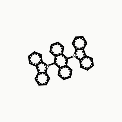 c1ccc2c(-n3c4ccccc4c4ccccc43)c3ccccc3c(-n3c4ccccc4c4ccccc43)c2c1